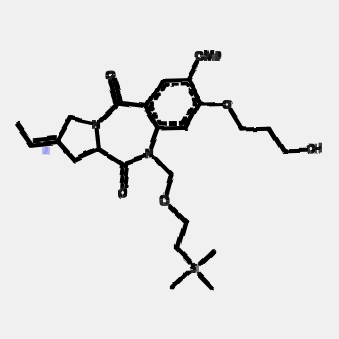 C/C=C1/CC2C(=O)N(COCC[Si](C)(C)C)c3cc(OCCCO)c(OC)cc3C(=O)N2C1